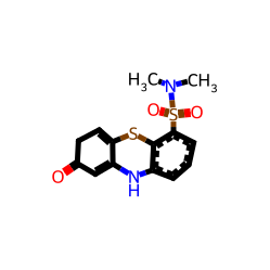 CN(C)S(=O)(=O)c1cccc2c1SC1=CCC(=O)C=C1N2